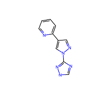 C1=NC(n2cc(-c3ccccn3)cn2)=N[N]1